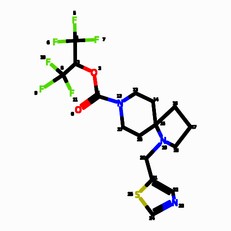 O=C(OC(C(F)(F)F)C(F)(F)F)N1CCC2(CCCN2Cc2cncs2)CC1